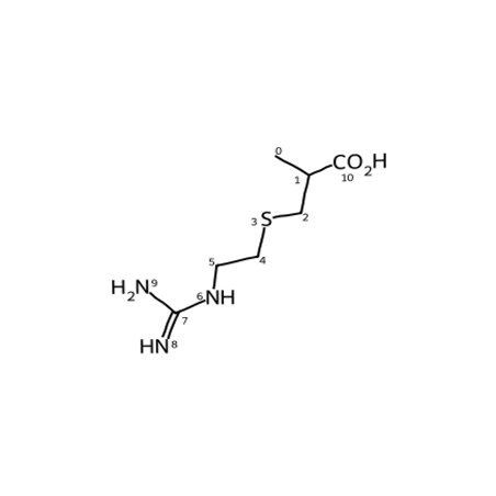 CC(CSCCNC(=N)N)C(=O)O